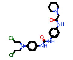 O=C(CN1CCCCC1)Nc1ccc(NC(=O)Nc2ccc(N(CCCl)CCCl)cc2)cc1